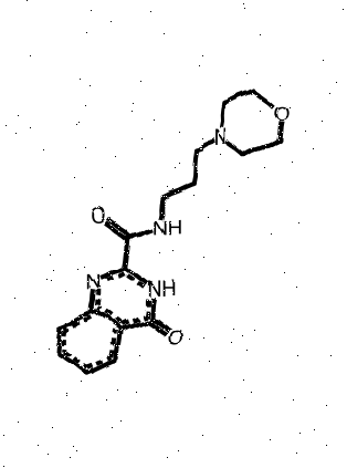 O=C(NCCCN1CCOCC1)c1nc2ccccc2c(=O)[nH]1